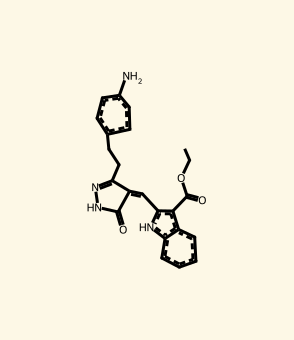 CCOC(=O)c1c(/C=C2\C(=O)NN=C2CCc2ccc(N)cc2)[nH]c2ccccc12